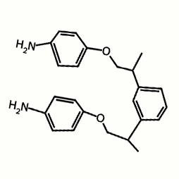 CC(COc1ccc(N)cc1)c1cccc(C(C)COc2ccc(N)cc2)c1